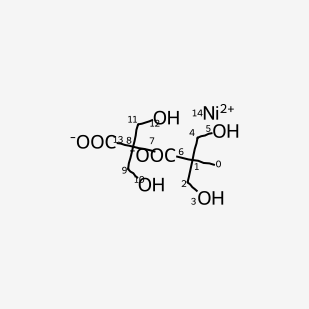 CC(CO)(CO)C(=O)[O-].CC(CO)(CO)C(=O)[O-].[Ni+2]